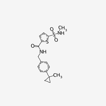 CNS(=O)(=O)c1ccc(C(=O)NCc2ccc(C3(C)CC3)cc2)s1